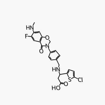 CNc1cc2c(cc1F)C(=O)N(c1ccc(CNC(CC(=O)O)c3ccc(Cl)s3)cc1)CO2